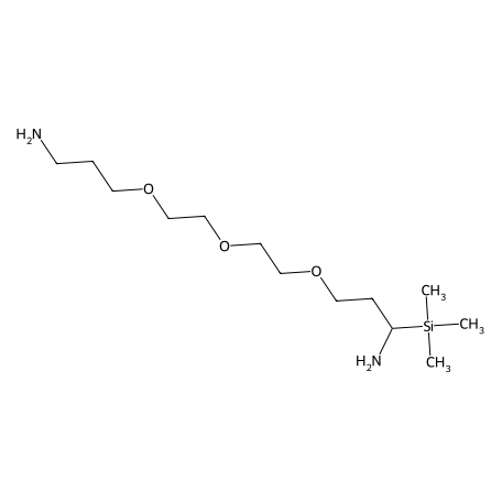 C[Si](C)(C)C(N)CCOCCOCCOCCCN